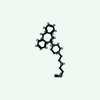 COCCOCCN1CCN(C2=Nc3ccccc3Sc3ccccc32)CC1